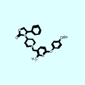 COc1ccc(Oc2ccc(CN3CCC(N4C(=O)OCC4c4ccccc4)CC3)c(C)n2)cc1